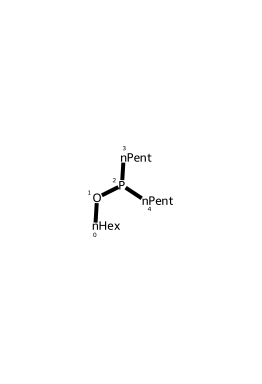 CCCCCCOP(CCCCC)CCCCC